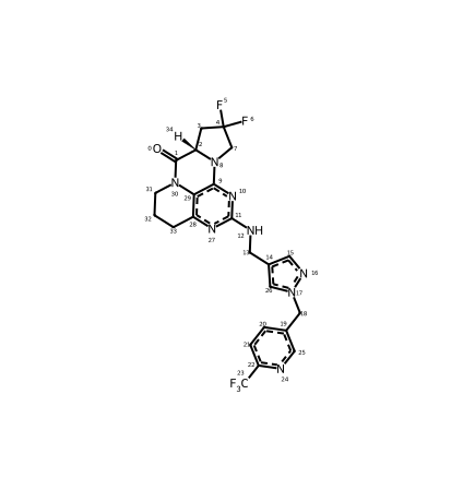 O=C1[C@@H]2CC(F)(F)CN2c2nc(NCc3cnn(Cc4ccc(C(F)(F)F)nc4)c3)nc3c2N1CCC3